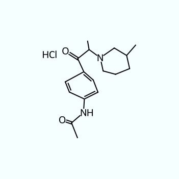 CC(=O)Nc1ccc(C(=O)C(C)N2CCCC(C)C2)cc1.Cl